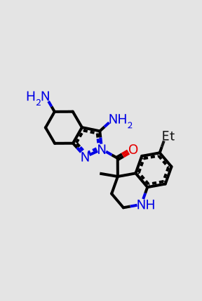 CCc1ccc2c(c1)C(C)(C(=O)n1nc3c(c1N)CC(N)CC3)CCN2